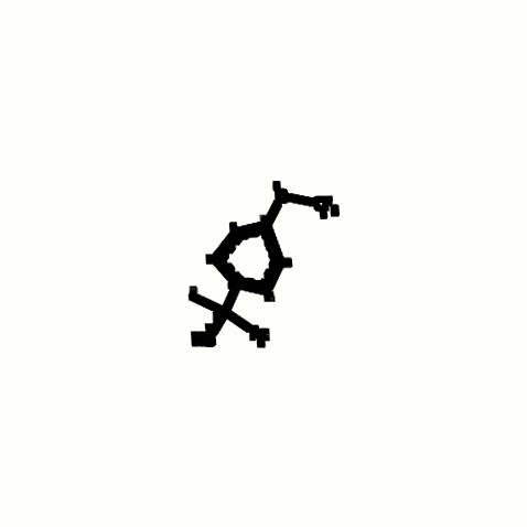 CC(=O)C(C)(O)c1ccc(OC(F)(F)F)cc1